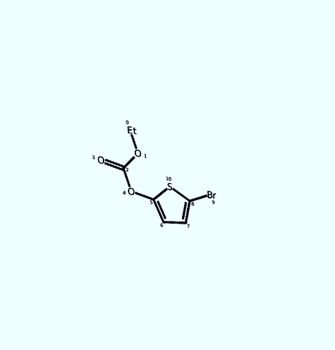 CCOC(=O)Oc1ccc(Br)s1